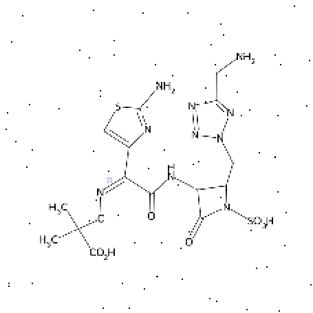 CC(C)(O/N=C(\C(=O)NC1C(=O)N(S(=O)(=O)O)C1Cn1nnc(CN)n1)c1csc(N)n1)C(=O)O